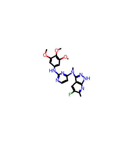 COc1cc(Nc2nccc(N(C)c3n[nH]c4nc(C)c(F)cc34)n2)cc(OC)c1OC